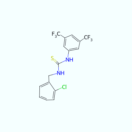 FC(F)(F)c1cc(NC(=S)NCc2ccccc2Cl)cc(C(F)(F)F)c1